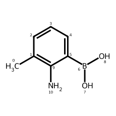 Cc1cccc(B(O)O)c1N